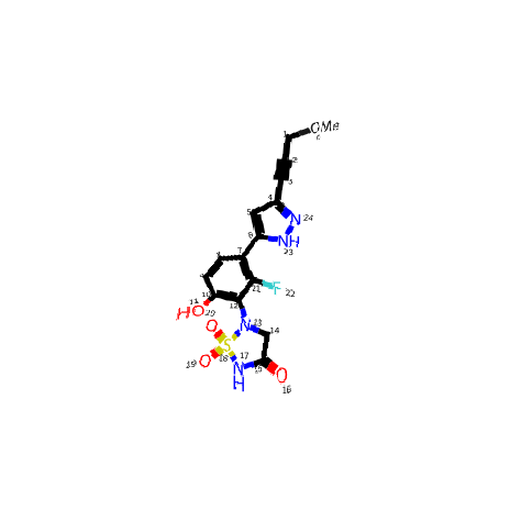 COCC#Cc1cc(-c2ccc(O)c(N3CC(=O)NS3(=O)=O)c2F)[nH]n1